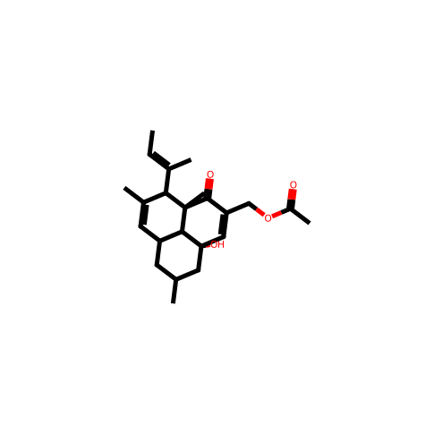 C/C=C(\C)C1C(C)=CC2CC(C)CC3(O)C=C(COC(C)=O)C(=O)C1(C)C23